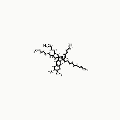 CCCCCCCCCC(CCCCCC)(CCCCCC)NC(CCCCCC)(CCCCCC)CCCCCCCCC